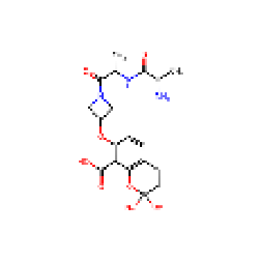 CC(N)C(=O)NC(C)C(=O)N1CC(Oc2ccc3c(c2C(=O)O)O[B-](O)(O)CC3)C1